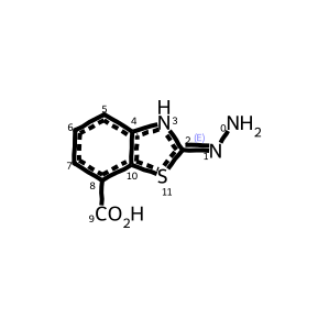 N/N=c1\[nH]c2cccc(C(=O)O)c2s1